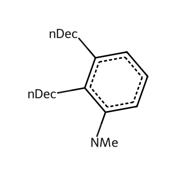 CCCCCCCCCCc1cccc(NC)c1CCCCCCCCCC